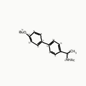 CC(=O)NC(C)c1ccc(-c2ccc(OCC(C)C)cc2)cc1